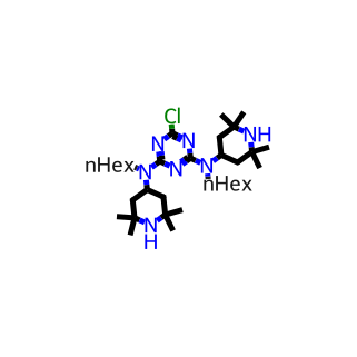 CCCCCCN(c1nc(Cl)nc(N(CCCCCC)C2CC(C)(C)NC(C)(C)C2)n1)C1CC(C)(C)NC(C)(C)C1